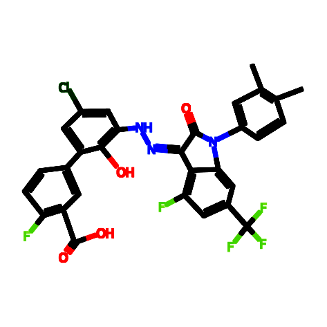 Cc1ccc(N2C(=O)C(=NNc3cc(Cl)cc(-c4ccc(F)c(C(=O)O)c4)c3O)c3c(F)cc(C(F)(F)F)cc32)cc1C